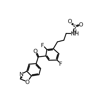 O=C(c1ccc2ocnc2c1)c1cc(F)cc(CCCN[SH](=O)=O)c1F